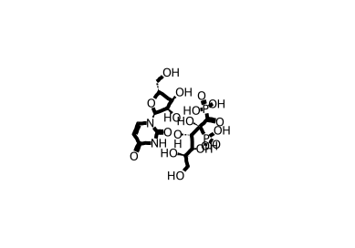 O=C([C@](O)([C@@H](O)[C@H](O)[C@H](O)CO)P(=O)(O)O)P(=O)(O)O.O=c1ccn([C@@H]2O[C@H](CO)[C@@H](O)[C@H]2O)c(=O)[nH]1